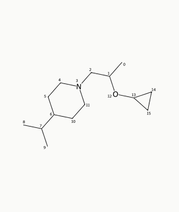 CC(CN1CCC(C(C)C)CC1)OC1CC1